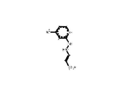 N#Cc1ccnc(NNC=CC(=O)O)c1